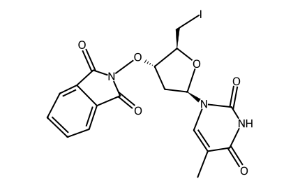 Cc1cn([C@H]2C[C@H](ON3C(=O)c4ccccc4C3=O)[C@@H](CI)O2)c(=O)[nH]c1=O